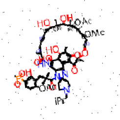 CO[C@H]1/C=C/O[C@@]2(C)Oc3c(C)c(O)c4c(c3C2=O)C2=NC3(CCN(CC(C)C)CC3)N(C(=O)C(C)(C)Cc3cc(P(C)(=O)O)ccc3OC(C)=O)C2C(=C4O)NC(=O)/C(C)=C\C=C\[C@H](C)[C@H](O)[C@@H](C)[C@@H](O)[C@@H](C)[C@H](OC(C)=O)[C@@H]1C